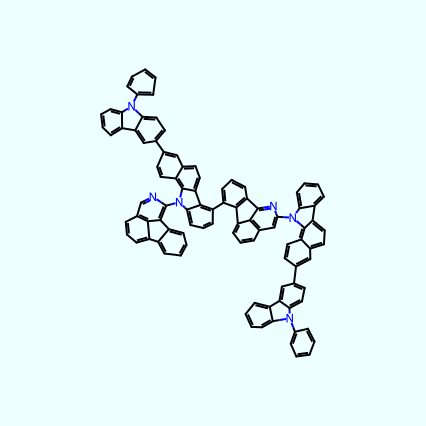 c1ccc(-n2c3ccccc3c3cc(-c4ccc5c(ccc6c7ccccc7n(-c7cc8cccc9c8c(n7)-c7cccc(-c8cccc%10c8c8ccc%11cc(-c%12ccc%13c(c%12)c%12ccccc%12n%13-c%12ccccc%12)ccc%11c8n%10-c8ncc%10cccc%11c%10c8-c8ccccc8-%11)c7-9)c56)c4)ccc32)cc1